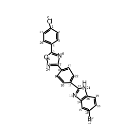 Clc1ccc(-c2nc(-c3ccc(-c4nc5cc(Br)ccc5[nH]4)cc3)no2)cc1